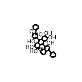 Oc1c(O)c(O)c2c(-c3ccc(-c4ccccc4)c4ccccc34)c3c(O)c(O)c(O)c(O)c3c(-c3ccc4oc5ccccc5c4c3)c2c1O